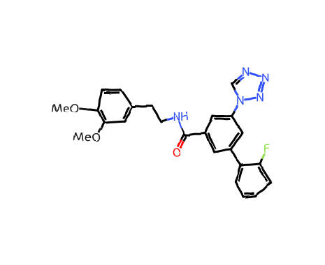 COc1ccc(CCNC(=O)c2cc(-c3ccccc3F)cc(-n3cnnn3)c2)cc1OC